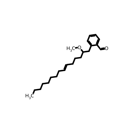 CCCCCCCCC=CCCCC(Cc1ccccc1C=O)OC